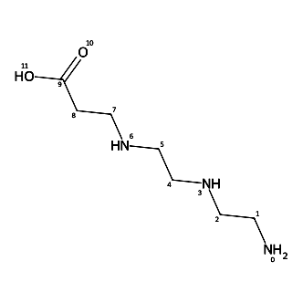 NCCNCCNCCC(=O)O